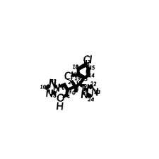 CC(C)(C(CO)Cn1cncn1)C(c1ccc(Cl)cc1Cl)n1cncn1